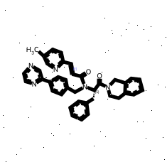 Cc1ccc(/C=C/C(=O)N(Cc2ccc(-c3cnccn3)cc2)[C@@H](Cc2ccccc2)C(=O)N2CCc3ccccc3C2)nc1